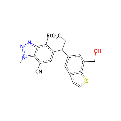 CCOC(=O)CC(c1cc(CO)c2sccc2c1)c1cc(C#N)c2c(nnn2C)c1C